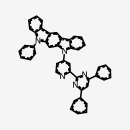 c1ccc(-c2cc(-c3ccccc3)nc(-c3cc(-n4c5ccccc5c5cc6c7ccccc7n(-c7ccccc7)c6cc54)ccn3)n2)cc1